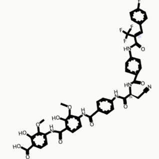 COc1c(NC(=O)c2ccc(NC(=O)c3ccc(NC(=O)[C@H](CC#N)NC(=O)c4ccc(NC(=O)/C(=C/c5ccc(F)cc5)C(F)(F)F)cc4)cc3)c(OC)c2O)ccc(C(=O)O)c1O